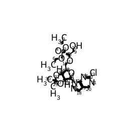 CCOP(=O)(OCC)[C@@H](CO)OC[C@H]1O[C@@H](n2ncc3[c]nc(Cl)nc32)[C@@H]2OC(C)(C)O[C@@H]21